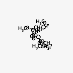 COCCOC(C)N(/N=C/c1ccc(F)c(OC)c1)C1=NS(=O)(=O)c2cc(B3OC(C)(C)C(C)(C)O3)ccc21